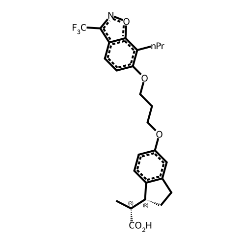 CCCc1c(OCCCOc2ccc3c(c2)CC[C@@H]3[C@@H](C)C(=O)O)ccc2c(C(F)(F)F)noc12